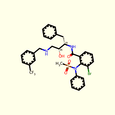 CS(=O)(=O)N(c1ccccc1)c1c(Br)cccc1C(=O)N[C@@H](Cc1ccccc1)[C@H](O)CNCc1cccc(C(F)(F)F)c1